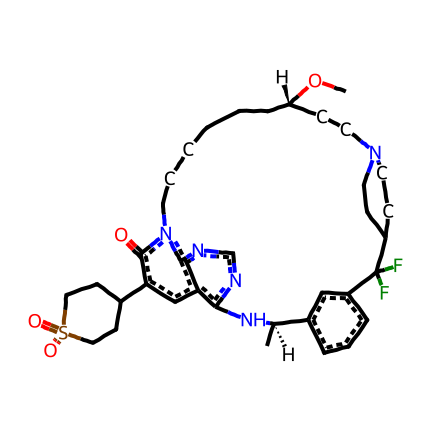 CO[C@H]1CCCCCCn2c(=O)c(C3CCS(=O)(=O)CC3)cc3c(ncnc32)N[C@H](C)c2cccc(c2)C(F)(F)C2CCN(CC2)CC1